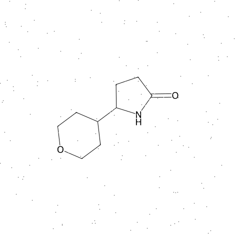 O=C1CCC(C2CCOCC2)N1